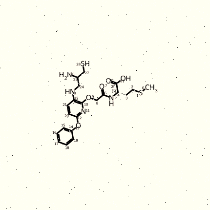 CSCC[C@H](NC(=O)COc1nc(Oc2ccccc2)ccc1NCC(N)CS)C(=O)O